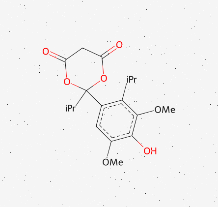 COc1cc(C2(C(C)C)OC(=O)CC(=O)O2)c(C(C)C)c(OC)c1O